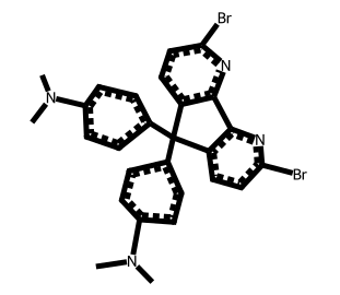 CN(C)c1ccc(C2(c3ccc(N(C)C)cc3)c3ccc(Br)nc3-c3nc(Br)ccc32)cc1